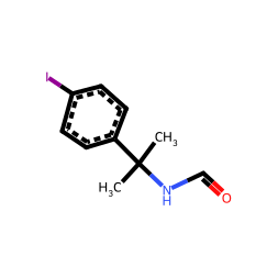 CC(C)(NC=O)c1ccc(I)cc1